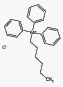 CCCCCC[As+](c1ccccc1)(c1ccccc1)c1ccccc1.[Cl-]